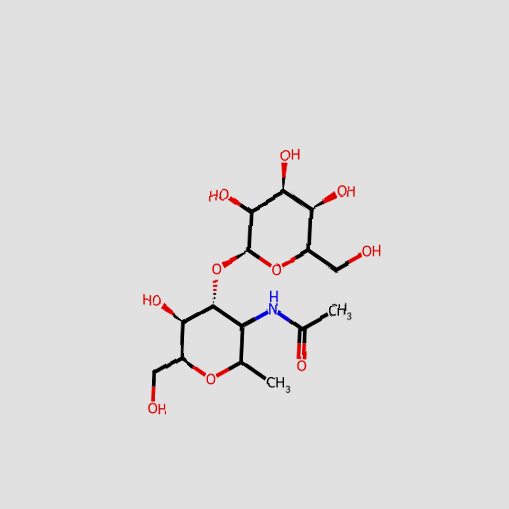 CC(=O)NC1C(C)OC(CO)[C@@H](O)[C@@H]1O[C@@H]1OC(CO)[C@H](O)[C@H](O)C1O